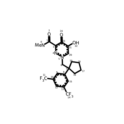 CNC(=O)c1nn(CC2(c3cc(C(F)(F)F)cc(C(F)(F)F)c3)CCCC2)cc(O)c1=O